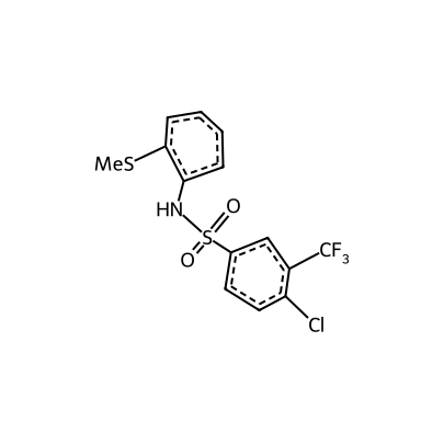 CSc1ccccc1NS(=O)(=O)c1ccc(Cl)c(C(F)(F)F)c1